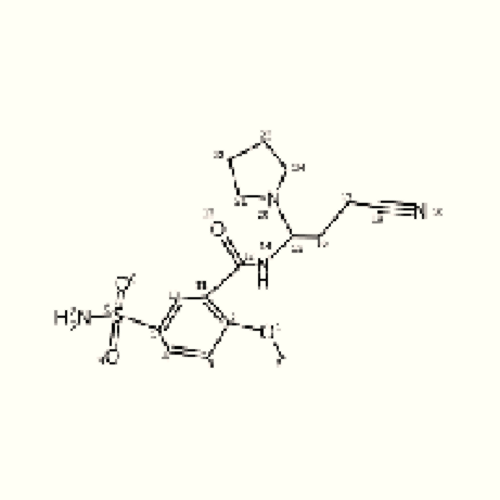 COc1ccc(S(N)(=O)=O)cc1C(=O)NC(CCC#N)N1CCCC1